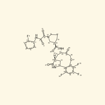 O=C(Nc1ccccc1F)C(=O)N1CCC[C@@H](C(=O)N[C@H]2C[C@@H]3CC(NC3=O)c3c(F)cc(F)c(F)c3OCC2=O)C1